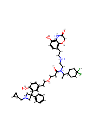 CC(C1CCC(F)(F)CC1)N(CCNCCc1ccc(O)c2c1OCC(=O)N2)C(=O)CCOCCc1ccc(O)c(C2(c3ccccc3)CN(CC3CC3)C2)c1